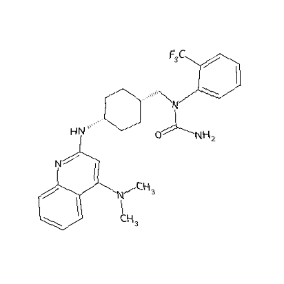 CN(C)c1cc(N[C@H]2CC[C@@H](CN(C(N)=O)c3ccccc3C(F)(F)F)CC2)nc2ccccc12